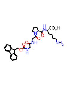 C[C@H](NC(=O)OCC1c2ccccc2-c2ccccc21)C(=O)NCC(=O)N1CCC[C@H]1C(=O)N[C@@H](CCCCN)C(=O)O